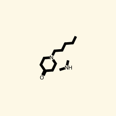 CCCCCN1CCC(=O)CC1.CNC